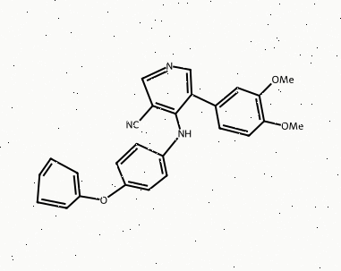 COc1ccc(-c2cncc(C#N)c2Nc2ccc(Oc3ccccc3)cc2)cc1OC